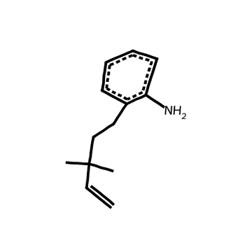 C=CC(C)(C)CCc1ccccc1N